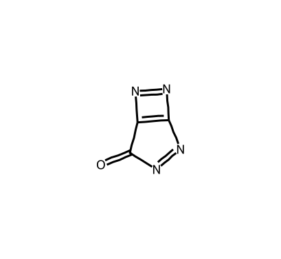 O=c1nnc2nnc1=2